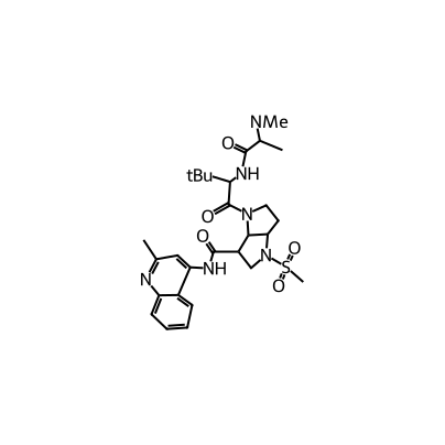 CNC(C)C(=O)NC(C(=O)N1CCC2C1C(C(=O)Nc1cc(C)nc3ccccc13)CN2S(C)(=O)=O)C(C)(C)C